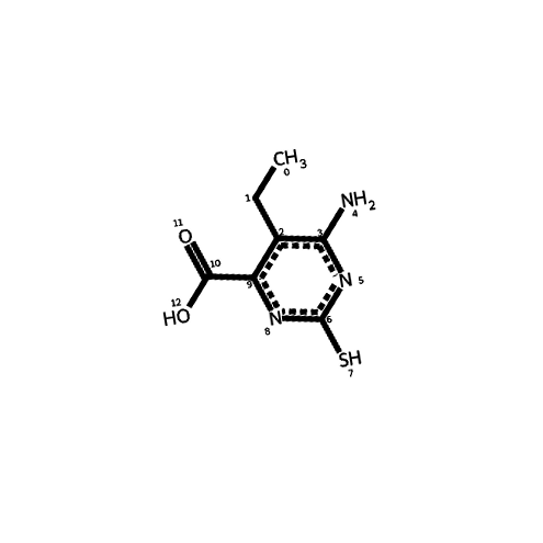 CCc1c(N)nc(S)nc1C(=O)O